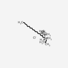 CCCCCCCCCCCCCCCC(CC[N+](C)(C)CC(C)C)[Si](OC)(OC)OC.[Cl-]